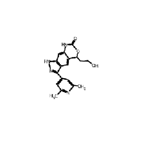 Cc1cc(-c2n[nH]c3cc4c(cc23)C(CCO)OC(=O)N4)cc(C)n1